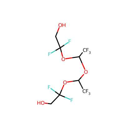 OCC(F)(F)OC(OC(OC(F)(F)CO)C(F)(F)F)C(F)(F)F